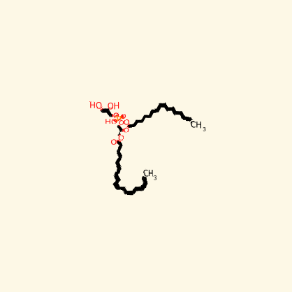 CC/C=C\C/C=C\C/C=C\CCCCCCCC(=O)OC[C@H](COP(=O)(O)OC[C@@H](O)CO)OC(=O)CCCCCCC/C=C\CCCCCCC